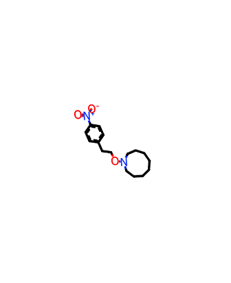 O=[N+]([O-])c1ccc(CCON2CCCCCCCC2)cc1